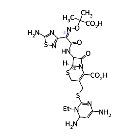 CCN1C(SCC2=C(C(=O)O)N3C(=O)C(NC(=O)/C(=N\OC(C)(C)C(=O)O)c4nsc(N)n4)[C@@H]3SC2)=NC(N)=CC1N